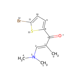 CC(=CN(C)C)C(=O)c1ccc(Br)s1